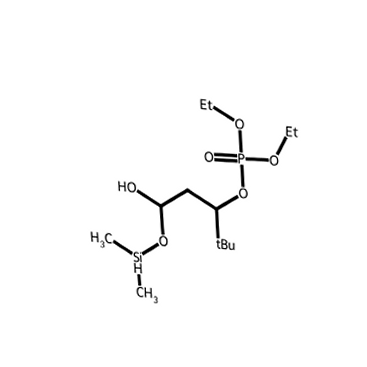 CCOP(=O)(OCC)OC(CC(O)O[SiH](C)C)C(C)(C)C